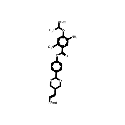 CCCCC/C=C/C1COC(c2ccc(OC(=O)c3cc(N)c(OC(C)CCCCCC)cc3[N+](=O)[O-])cc2)OC1